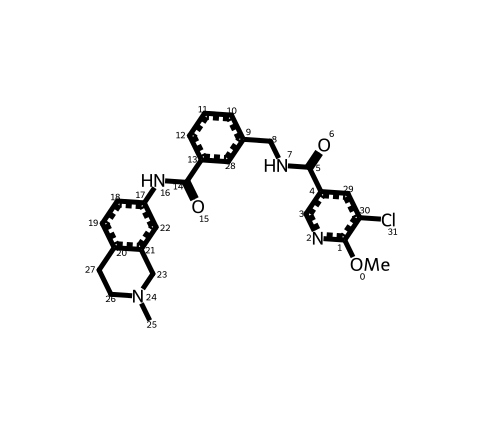 COc1ncc(C(=O)NCc2cccc(C(=O)Nc3ccc4c(c3)CN(C)CC4)c2)cc1Cl